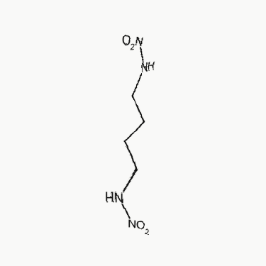 O=[N+]([O-])NCCCCN[N+](=O)[O-]